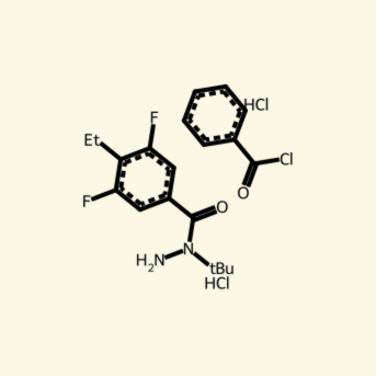 CCc1c(F)cc(C(=O)N(N)C(C)(C)C)cc1F.Cl.Cl.O=C(Cl)c1ccccc1